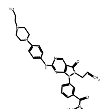 C=CCn1c(=O)c2cnc(Nc3ccc(N4CCN(CCO)CC4)cc3)nc2n1-c1cccc(C(=O)N(C)C)c1